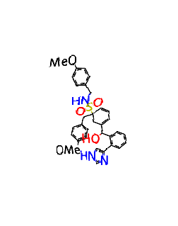 COc1ccc(CNS(=O)(=O)C2(Cc3ccc(OC)cc3)C=CC=C(C(O)c3ccccc3-c3c[nH]cn3)C2)cc1